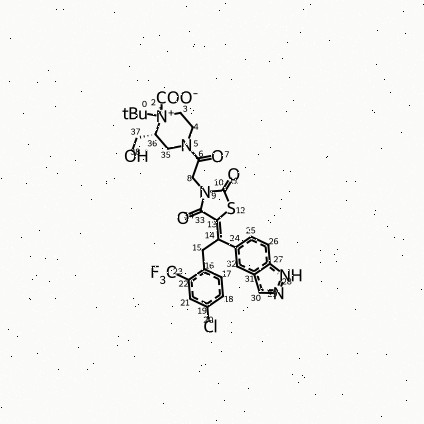 CC(C)(C)[N+]1(C(=O)[O-])CCN(C(=O)CN2C(=O)S/C(=C(/Cc3ccc(Cl)cc3C(F)(F)F)c3ccc4[nH]ncc4c3)C2=O)C[C@@H]1CO